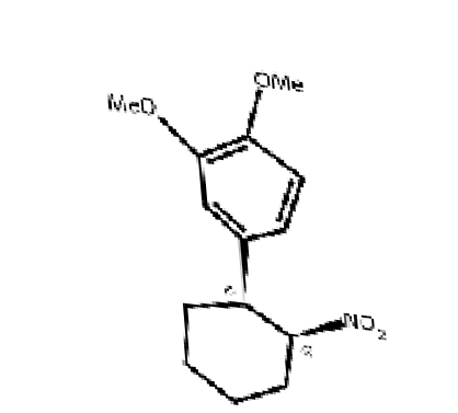 COc1ccc([C@@H]2CCCC[C@@H]2[N+](=O)[O-])cc1OC